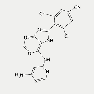 N#Cc1cc(Cl)c(-c2nc3ncnc(Nc4cc(N)ncn4)c3[nH]2)c(Cl)c1